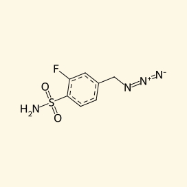 [N-]=[N+]=NCc1ccc(S(N)(=O)=O)c(F)c1